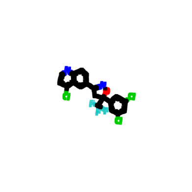 FC(F)(F)C1(c2cc(Cl)cc(Cl)c2)CC(c2ccc3nccc(Cl)c3c2)=NO1